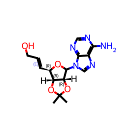 CC1(C)O[C@@H]2[C@@H](/C=C/CO)OC(n3cnc4c(N)ncnc43)[C@@H]2O1